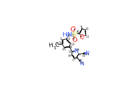 Cc1cc(NS(=O)(=O)c2ccco2)cc(-c2ccc(C#N)c(C#N)n2)c1